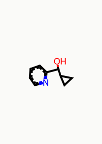 OC(c1ccccn1)C1CC1